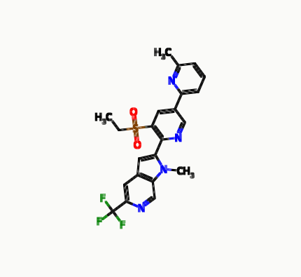 CCS(=O)(=O)c1cc(-c2cccc(C)n2)cnc1-c1cc2cc(C(F)(F)F)ncc2n1C